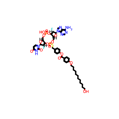 Nc1ncnc2c1ncn2[C@@H]1O[C@@H]2COP(=O)(SCc3ccc(OC(=O)c4ccc(OCCCCCCCCCCCCO)cc4)cc3)O[C@H]3[C@@H](F)[C@H](n4ccc(=O)[nH]c4=O)O[C@@H]3COP(=O)(O)O[C@H]2[C@H]1F